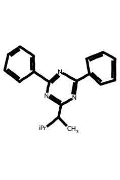 CC(C)C(C)c1nc(-c2ccccc2)nc(-c2ccccc2)n1